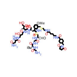 CC[C@H](C)[C@H](NC(=O)CN)C(=O)NCC(=O)N[C@H](C=O)C[S+]([O-])c1[nH]c2c(CSCCNC(=O)CCCCCNC(=O)C3CCC(CN4C(=O)C=CC4=O)CC3)c(OC)ccc2c1C[C@@H](CO)NC(=O)[C@@H](NC(=O)C[C@@H](O)CNC(=O)[C@@H](N)CC(N)=O)[C@@H](C)[C@@H](O)CO